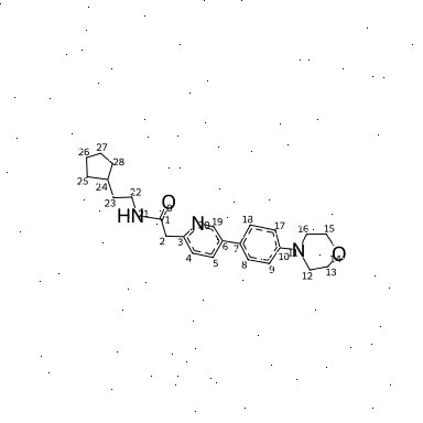 O=C(Cc1ccc(-c2ccc(N3CCOCC3)cc2)cn1)NCCC1CCCC1